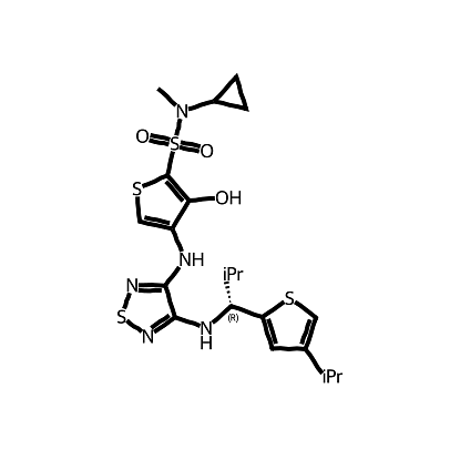 CC(C)c1csc([C@H](Nc2nsnc2Nc2csc(S(=O)(=O)N(C)C3CC3)c2O)C(C)C)c1